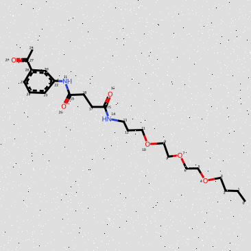 CCCCOCCOCCOCCCNC(=O)CCC(=O)Nc1cccc(C(C)=O)c1